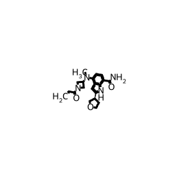 C=CC(=O)N1CC(N(C)c2ccc(C(N)=O)c3[nH]c([C@H]4CCOC4)cc23)C1